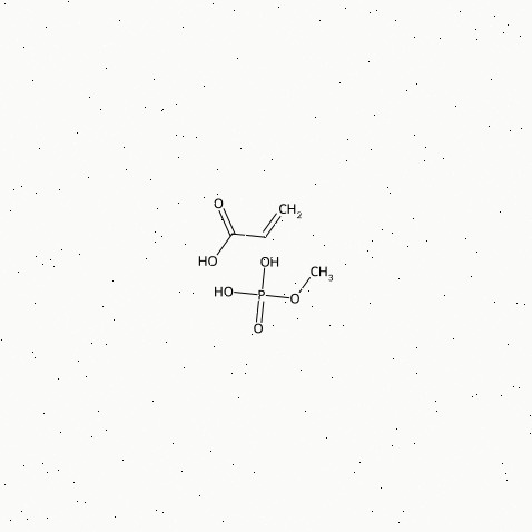 C=CC(=O)O.COP(=O)(O)O